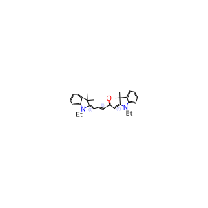 CCN1/C(=C/C=C/C(=O)/C=C2/N(CC)c3ccccc3C2(C)C)C(C)(C)c2ccccc21